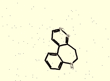 C1=[N+]N=C2CCNc3ccccc3C2=C1